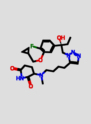 CC[C@@](O)(Cn1nncc1CCCCN(C)C1CCC(=O)NC1=O)c1ccc(F)c(OCC2CC2)c1